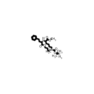 CCCCOC(=O)C(CCc1ccccc1)NC(CCCCNC(=O)OC(C)(C)C)C(=O)OC